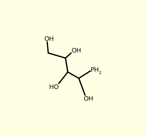 OCC(O)C(O)C(O)P